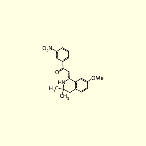 COc1ccc2c(c1)C(=CC(=O)c1cccc([N+](=O)[O-])c1)NC(C)(C)C2